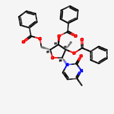 Cc1ccn([C@@H]2O[C@H](COC(=O)c3ccccc3)[C@@H](OC(=O)c3ccccc3)[C@@]2(C)OC(=O)c2ccccc2)c(=O)n1